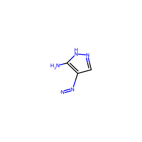 [N]=Nc1cn[nH]c1N